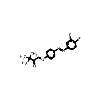 CC(C)(C)C(=O)COc1ccc(N=Nc2ccc(F)c(F)c2)cc1